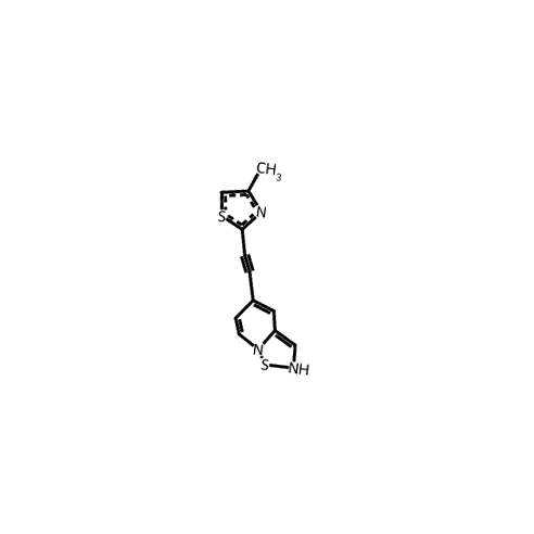 Cc1csc(C#CC2=CC3=CNSN3C=C2)n1